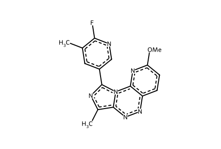 COc1ccc2nnc3c(C)nc(-c4cnc(F)c(C)c4)n3c2n1